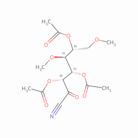 COC[C@@H](OC(C)=O)[C@H](OC)[C@H](OC(C)=O)[C@@H](OC(C)=O)C(=O)C#N